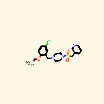 O=C(O)COc1ccc(Cl)cc1CN1CCN(S(=O)(=O)Cc2cccnc2)CC1